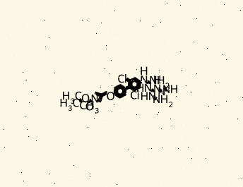 CC(C)(C)OC(=O)N1CC(COc2ccc(-c3c(Cl)cc(NC(N)NC(NN)NN=N)cc3Cl)cc2)C1